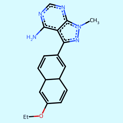 CCOC1=CC2C=CC(c3nn(C)c4ncnc(N)c34)=CC2C=C1